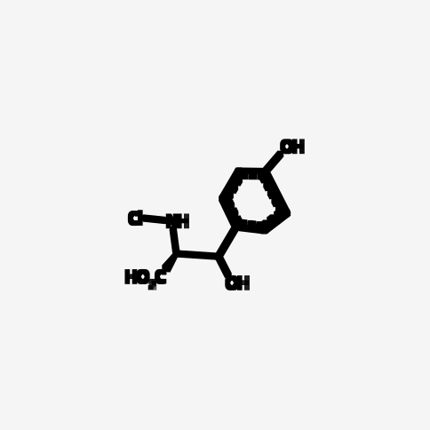 O=C(O)[C@@H](NCl)C(O)c1ccc(O)cc1